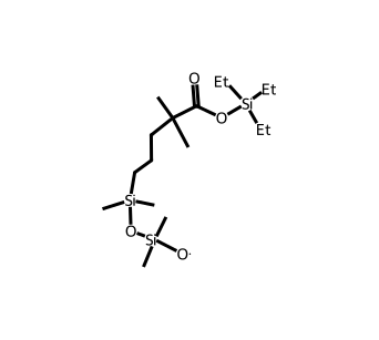 CC[Si](CC)(CC)OC(=O)C(C)(C)CCC[Si](C)(C)O[Si](C)(C)[O]